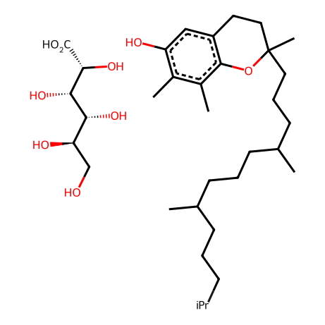 Cc1c(O)cc2c(c1C)OC(C)(CCCC(C)CCCC(C)CCCC(C)C)CC2.O=C(O)[C@H](O)[C@@H](O)[C@H](O)[C@H](O)CO